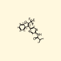 CC(C)C(=O)Nc1cnc(-c2c(C(F)(F)F)oc3ccccc23)cn1